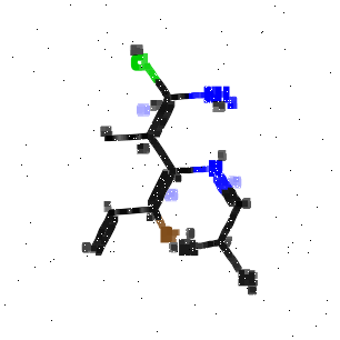 C=C/C(Br)=C(/N=C\C(CC)CC)C(\C)=C(/N)Cl